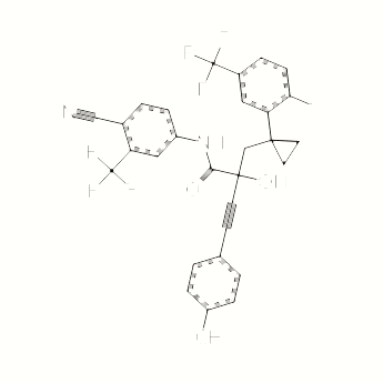 Cc1ccc(C#CC(O)(CC2(c3cc(C(F)(F)F)ccc3F)CC2)C(=O)Nc2ccc(C#N)c(C(F)(F)F)c2)cc1